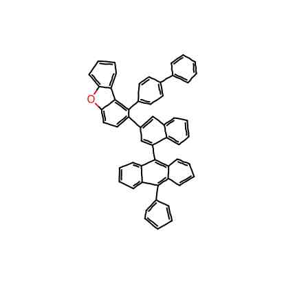 c1ccc(-c2ccc(-c3c(-c4cc(-c5c6ccccc6c(-c6ccccc6)c6ccccc56)c5ccccc5c4)ccc4oc5ccccc5c34)cc2)cc1